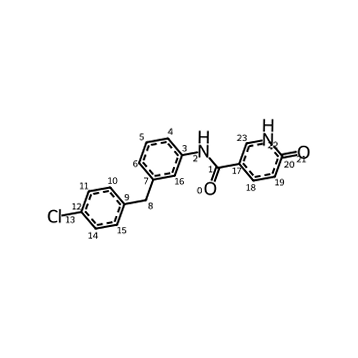 O=C(Nc1cccc(Cc2ccc(Cl)cc2)c1)c1ccc(=O)[nH]c1